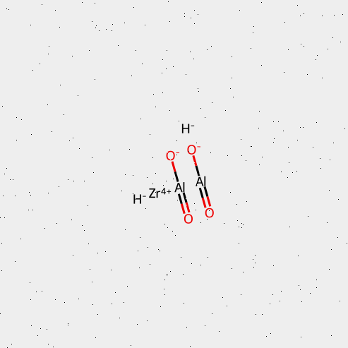 [H-].[H-].[O]=[Al][O-].[O]=[Al][O-].[Zr+4]